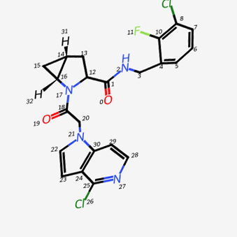 O=C(NCc1cccc(Cl)c1F)C1C[C@H]2C[C@H]2N1C(=O)Cn1ccc2c(Cl)nccc21